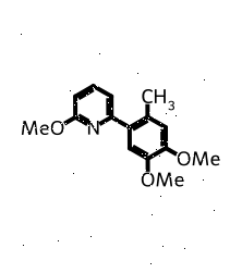 COc1cccc(-c2cc(OC)c(OC)cc2C)n1